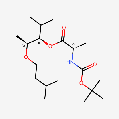 CC(C)CCO[C@@H](C)[C@H](OC(=O)[C@H](C)NC(=O)OC(C)(C)C)C(C)C